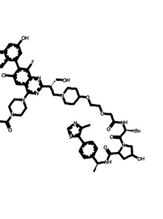 C=CC(=O)N1CCN(c2nc([C@H](CO)CN3CCC(OCCOCC(=O)N[C@H](C(=O)N4CC(O)CC4C(=O)N[C@@H](C)c4ccc(-c5scnc5C)cc4)C(C)(C)C)CC3)nc3c(F)c(-c4cc(O)cc5ccccc45)c(Cl)cc23)CC1